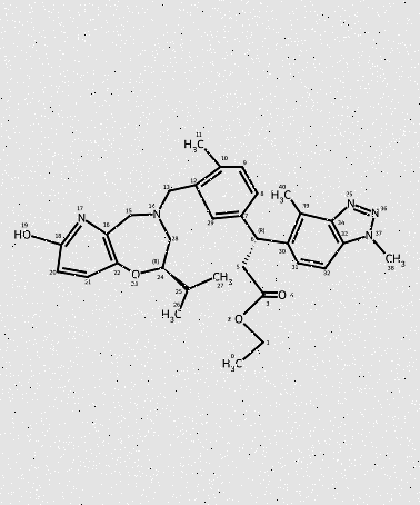 CCOC(=O)C[C@H](c1ccc(C)c(CN2Cc3nc(O)ccc3O[C@H](C(C)C)C2)c1)c1ccc2c(nnn2C)c1C